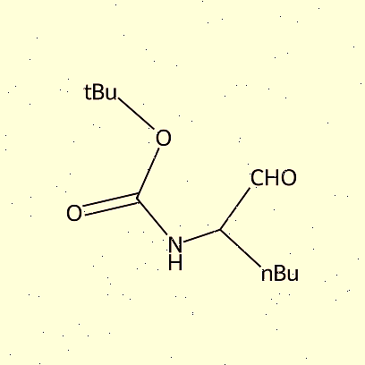 [CH2]CCCC(C=O)NC(=O)OC(C)(C)C